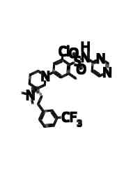 Cc1cc(N2CCC[C@](CCc3cccc(C(F)(F)F)c3)(N(C)C)C2)cc(Cl)c1S(=O)(=O)Nc1ccncn1